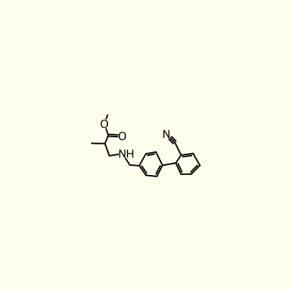 COC(=O)C(C)CNCc1ccc(-c2ccccc2C#N)cc1